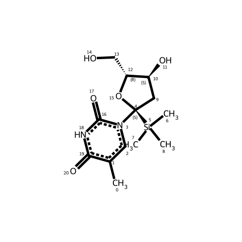 Cc1cn([C@@]2([Si](C)(C)C)C[C@H](O)[C@@H](CO)O2)c(=O)[nH]c1=O